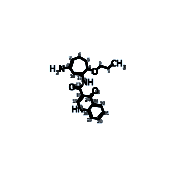 CCCOC1CCC=C(N)C=C1NC(=O)c1c[nH]c2ccccc2c1=O